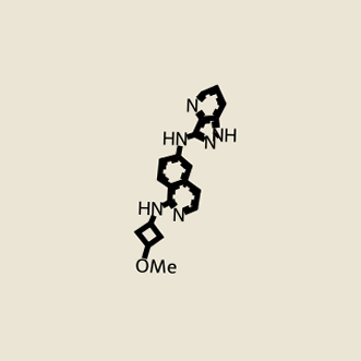 COC1CC(Nc2nccc3cc(Nc4n[nH]c5cccnc45)ccc23)C1